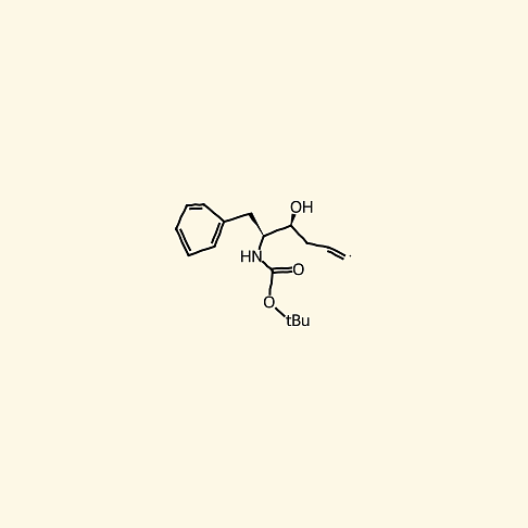 [CH]=CC[C@H](O)[C@H](Cc1ccccc1)NC(=O)OC(C)(C)C